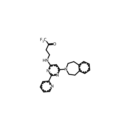 O=C(CCNc1cc(N2CCc3ccccc3CC2)nc(-c2ccccn2)n1)C(F)(F)F